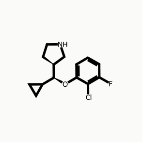 Fc1cccc(O[C@@H](C2CC2)[C@H]2CCNC2)c1Cl